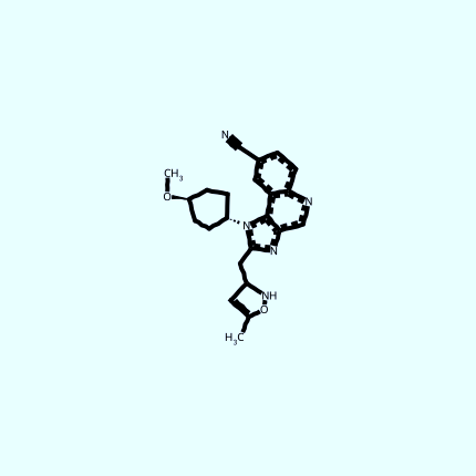 CO[C@H]1CC[C@H](n2c(CC3C=C(C)ON3)nc3cnc4ccc(C#N)cc4c32)CC1